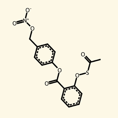 CC(=O)SOc1ccccc1C(=O)Oc1ccc(CO[N+](=O)[O-])cc1